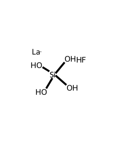 F.O[Si](O)(O)O.[La]